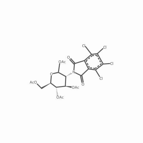 CC(=O)OC[C@H]1OC(OC(C)=O)[C@H](N2C(=O)c3c(Cl)c(Cl)c(Cl)c(Cl)c3C2=O)[C@@H](OC(C)=O)[C@@H]1OC(C)=O